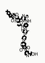 C=CC(=O)Nc1cc(Nc2nc(-c3ccnc(N4CCn5c(cc6c5CC(C)(C)C6)C4=O)c3CO)cnc2OC)ccc1N1CCN(C2CCN(c3ccc4c(c3)C(=O)N(c3ccnc(C(C)(C)O)c3)C4=O)CC2)C[C@@H]1C